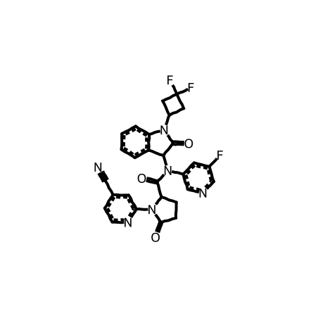 N#Cc1ccnc(N2C(=O)CCC2C(=O)N(c2cncc(F)c2)C2C(=O)N(C3CC(F)(F)C3)c3ccccc32)c1